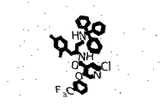 Cc1ccc(CC(CCNC(c2ccccc2)(c2ccccc2)c2ccccc2)NC(=O)c2cc(Cl)ncc2Oc2cccc(C(F)(F)F)c2)c(C)c1